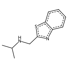 CC(C)NCc1nc2ccccc2s1